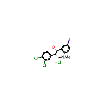 CNC[C@H](c1ccc(Cl)c(Cl)c1)[C@H](O)c1cccc(I)c1.Cl